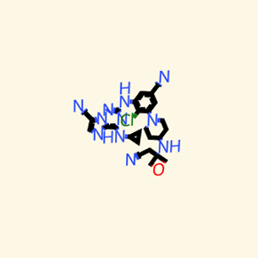 N#CCC1(NC2CCN(c3cc(C#N)cc(Nc4nc(NC5CC5)c5ncc(C#N)n5n4)c3Cl)CC2)COC1